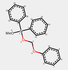 CO[Si](OCOc1ccccc1)(c1ccccc1)c1ccccc1